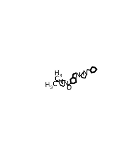 CC(C)N1CCN(C(=O)c2ccc3c(ccn3C3CCCN(Cc4ccccc4)C3)c2)CC1